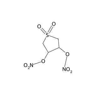 O=[N+]([O-])OC1CS(=O)(=O)CC1O[N+](=O)[O-]